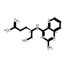 C=C(C)CC[C@H](CO)Nc1nc(N)nc2cccnc12